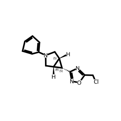 ClCc1nc([C@@H]2[C@@H]3CN(c4ccccc4)C[C@@H]32)no1